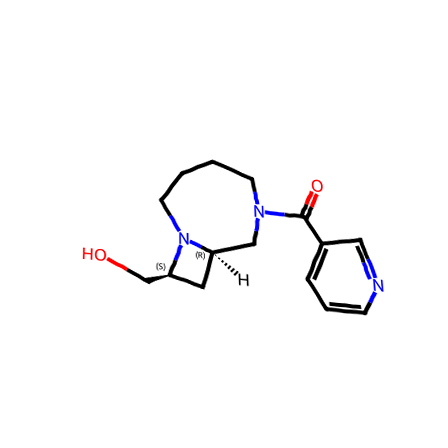 O=C(c1cccnc1)N1CCCCN2[C@H](CO)C[C@@H]2C1